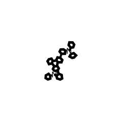 c1ccc(N(c2ccccc2)c2cccc(-c3ccc4c(c3)c3ccccc3c3cc5c(cc43)c3ccccc3n5-c3ccccc3)c2)cc1